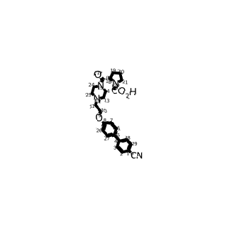 N#Cc1ccc(-c2ccc(OCCN3CCN(C(=O)[C@@H]4CCCN4C(=O)O)CC3)cc2)cc1